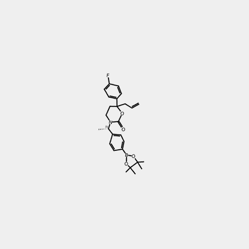 C=CCC1(c2ccc(F)cc2)CCN([C@@H](C)c2ccc(B3OC(C)(C)C(C)(C)O3)cc2)C(=O)O1